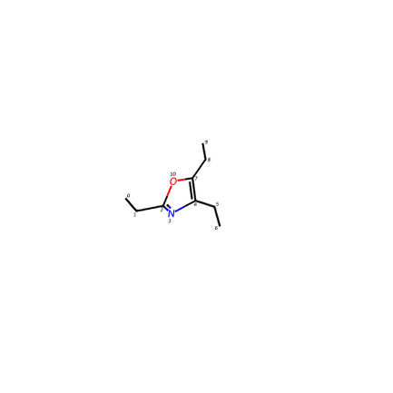 CCc1nc(CC)c(CC)o1